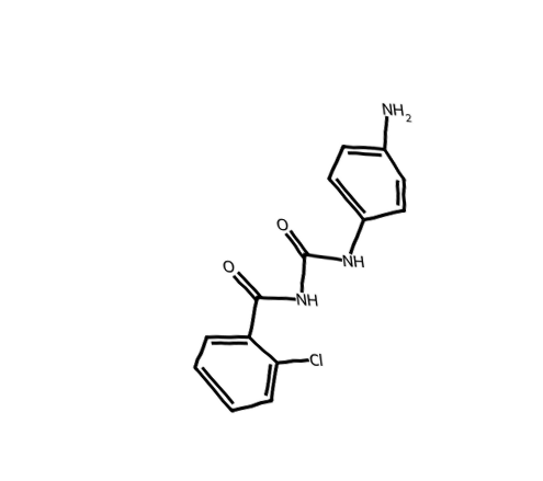 Nc1ccc(NC(=O)NC(=O)c2ccccc2Cl)cc1